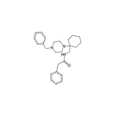 O=C(Cc1ccccc1)NCC1(N2CCN(Cc3ccccc3)CC2)CCCCC1